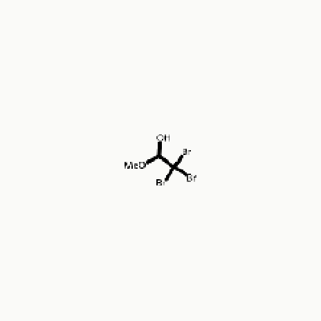 COC(O)C(Br)(Br)Br